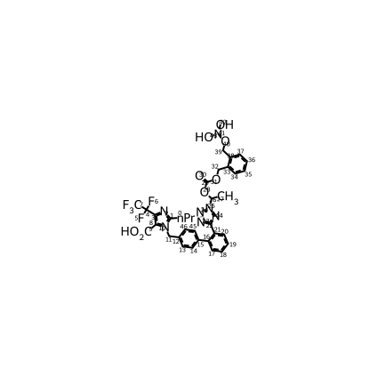 CCCc1nc(C(F)(F)C(F)(F)F)c(C(=O)O)n1Cc1ccc(-c2ccccc2-c2nnn(C(C)OC(=O)OCc3ccccc3CON(O)O)n2)cc1